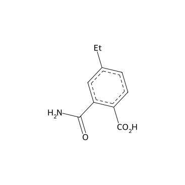 CCc1ccc(C(=O)O)c(C(N)=O)c1